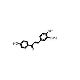 COc1cc(C=CC(=O)c2ccc(O)cc2)ccc1O